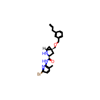 C=CCc1cccc(COC[C@@]23C[C@@H](C(=O)Nc4nc(Br)ccc4C)N[C@@H]2C3)c1